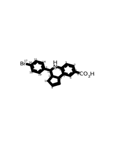 O=C(O)c1ccc2c(c1)C1C=CCC1C(c1ccc(Br)cc1)N2